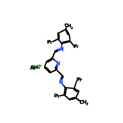 Cc1cc(C(C)C)c(N=Cc2cccc(C=Nc3c(C(C)C)cc(C)cc3C(C)C)n2)c(C(C)C)c1.[Cl-].[Cl-].[Fe+2]